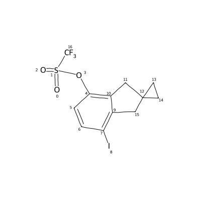 O=S(=O)(Oc1ccc(I)c2c1CC1(CC1)C2)C(F)(F)F